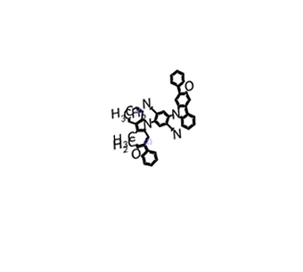 C=Cc1c(C)c(/C=c2\c(=C)oc3ccccc23)n(-c2cc(C#N)c(-n3c4ccccc4c4cc5oc6ccccc6c5cc43)cc2C#N)c1/C=C\C